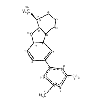 Cc1nc(C)nc(C2=CC3C(C=C2)OC2C3CCC[C@@H]2C)n1